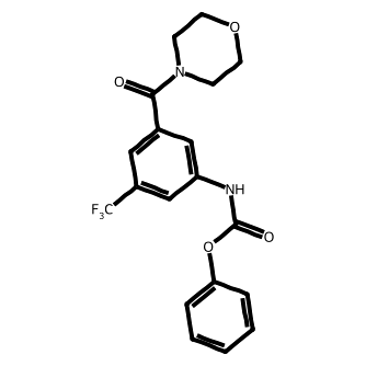 O=C(Nc1cc(C(=O)N2CCOCC2)cc(C(F)(F)F)c1)Oc1ccccc1